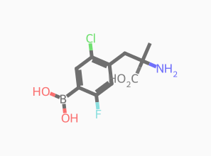 CC(N)(Cc1cc(F)c(B(O)O)cc1Cl)C(=O)O